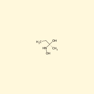 CC[C@@](C)(O)NO